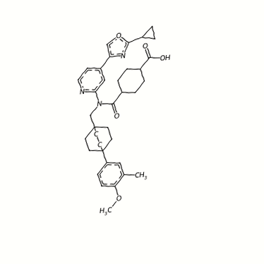 COc1ccc(C23CCC(CN(C(=O)C4CCC(C(=O)O)CC4)c4cc(-c5coc(C6CC6)n5)ccn4)(CC2)CC3)cc1C